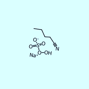 CCCCC#N.O=S(=O)([O-])OO.[Na+]